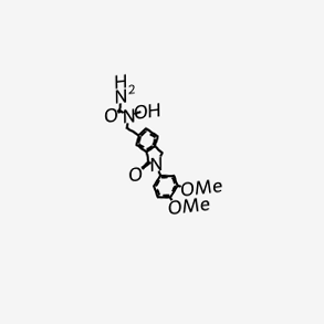 COc1ccc(N2Cc3ccc(CN(O)C(N)=O)cc3C2=O)cc1OC